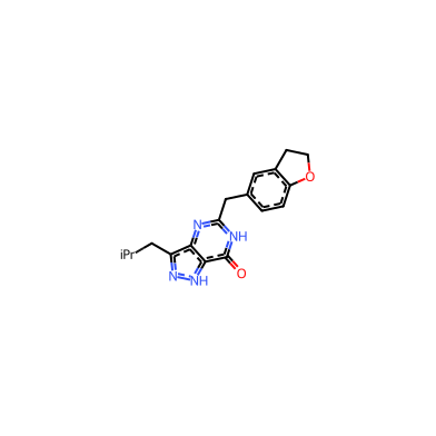 CC(C)Cc1n[nH]c2c(=O)[nH]c(Cc3ccc4c(c3)CCO4)nc12